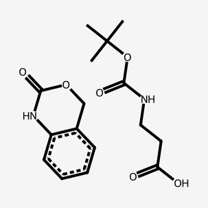 CC(C)(C)OC(=O)NCCC(=O)O.O=C1Nc2ccccc2CO1